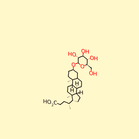 C[C@H](CCC(=O)O)[C@H]1CC[C@H]2[C@@H]3CCC4C[C@H](O[C@@H]5O[C@H](CO)[C@@H](O)[C@H](O)[C@H]5O)CC[C@]4(C)[C@H]3CC[C@]12C